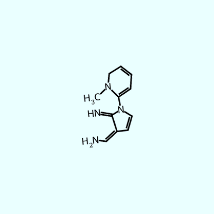 CN1CC=CC=C1N1C=C/C(=C/N)C1=N